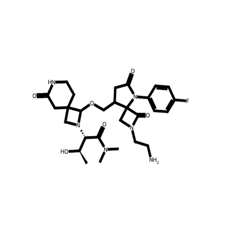 C[C@@H](O)[C@@H](C(=O)N(C)C)N1CC2(CCNC(=O)C2)C1OCC1CC(=O)N(c2ccc(F)cc2)C12CN(CCN)C2=O